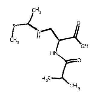 CSC(C)NCC(NC(=O)C(C)C)C(=O)O